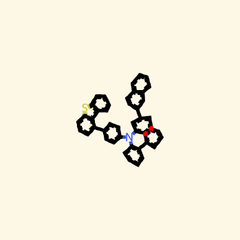 c1ccc(-c2ccccc2N(c2ccc(-c3cccc4sc5ccccc5c34)cc2)c2cccc(-c3ccc4ccccc4c3)c2)cc1